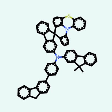 CC1(C)c2ccccc2-c2ccc(N(c3ccc(-c4ccc5c(c4)-c4ccccc4C5)cc3)c3ccc4c(c3)C3(c5ccccc5-4)c4ccccc4N4c5ccccc5Sc5cccc3c54)cc21